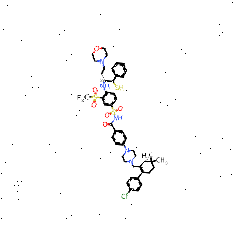 CC1(C)CCC(c2ccc(Cl)cc2)=C(CN2CCN(c3ccc(C(=O)NS(=O)(=O)c4ccc(N[C@H](CCN5CCOCC5)C(S)c5ccccc5)c(S(=O)(=O)C(F)(F)F)c4)cc3)CC2)C1